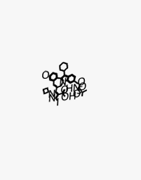 COc1ccc2c(c1)C=C(c1c(C(=O)O)c(I)nn1C1CCC1)Cn1c-2c(C2CCCCC2)c2ccc(C(=O)NS(=O)(=O)C(C)C)cc21